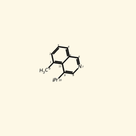 Cc1cccc2cncc(C(C)C)c12